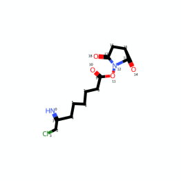 N=C(CCl)CCCCCC(=O)ON1C(=O)CCC1=O